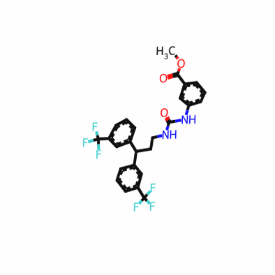 COC(=O)c1cccc(NC(=O)NCCC(c2cccc(C(F)(F)F)c2)c2cccc(C(F)(F)F)c2)c1